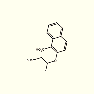 CCCCCCCCCCCC(C)Oc1ccc2ccccc2c1C(=O)O